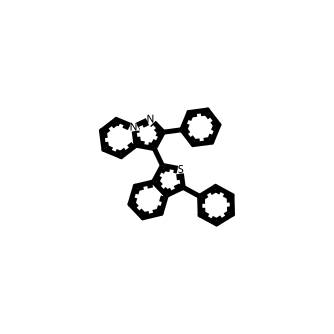 c1ccc(-c2nn3ccccc3c2-c2sc(-c3ccccc3)c3ccccc23)cc1